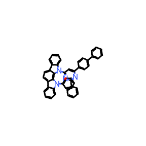 c1ccc(-c2ccc(-c3cc(-n4c5ccccc5c5ccc6c7ccccc7n(-c7ccccc7)c6c54)nc(-c4ccccc4)n3)cc2)cc1